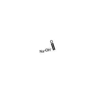 C=O.[Na+].[OH-]